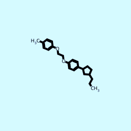 CCCC1CCC(c2ccc(OCCOc3ccc(C)cc3)cc2)C1